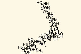 CC(C)C[C@H](N)C(=O)O.NCC(=O)O.NCC(=O)O.NCC(=O)O.NCCCC[C@H](N)C(=O)O.N[C@@H](CO)C(=O)O.N[C@@H](CS)C(=O)O.N[C@@H](CS)C(=O)O.N[C@@H](Cc1c[nH]cn1)C(=O)O.N[C@@H](Cc1c[nH]cn1)C(=O)O.O=C(O)[C@@H]1CCCN1.O=C(O)[C@@H]1CCCN1